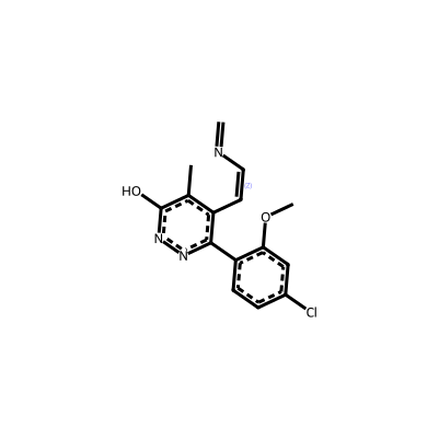 C=N/C=C\c1c(-c2ccc(Cl)cc2OC)nnc(O)c1C